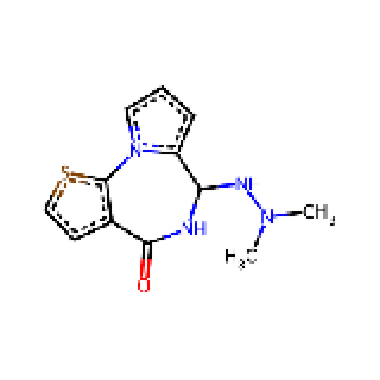 CN(C)NC1NC(=O)c2ccsc2-n2cccc21